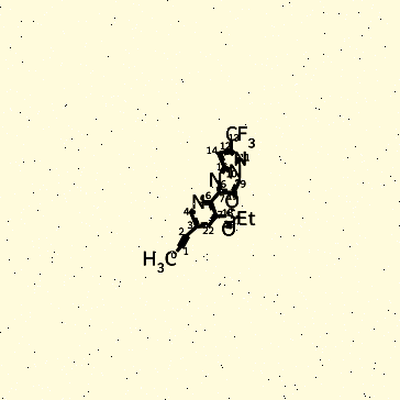 CC#Cc1cnc(-c2ccn3nc(C(F)(F)F)cc3n2)c(S(=O)(=O)CC)c1